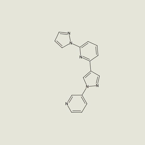 c1cncc(-n2cc(-c3cccc(-n4cccn4)n3)cn2)c1